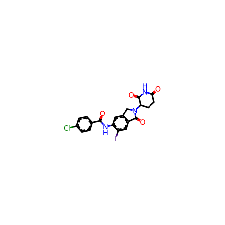 O=C1CCC(N2Cc3cc(NC(=O)c4ccc(Cl)cc4)c(I)cc3C2=O)C(=O)N1